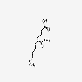 CCCCCCC(CCCC(=O)O)C(=O)O